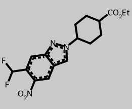 CCOC(=O)C1CCC(n2cc3cc([N+](=O)[O-])c(C(F)F)cc3n2)CC1